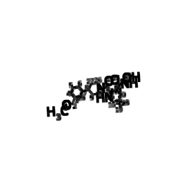 COCc1cccc(C2CCN(C(=O)[C@H]3NCC4(CC4)C[C@@H]3C(=O)NO)CC2)c1